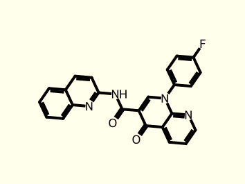 O=C(Nc1ccc2ccccc2n1)c1cn(-c2ccc(F)cc2)c2ncccc2c1=O